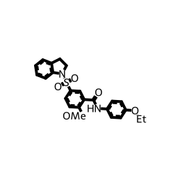 CCOc1ccc(NC(=O)c2cc(S(=O)(=O)N3CCc4ccccc43)ccc2OC)cc1